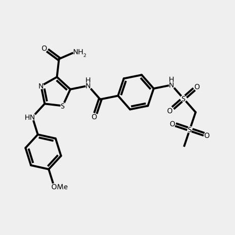 COc1ccc(Nc2nc(C(N)=O)c(NC(=O)c3ccc(NS(=O)(=O)CS(C)(=O)=O)cc3)s2)cc1